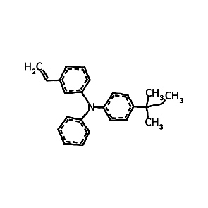 C=Cc1cccc(N(c2ccccc2)c2ccc(C(C)(C)CC)cc2)c1